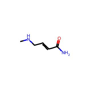 CNCC=CC(N)=O